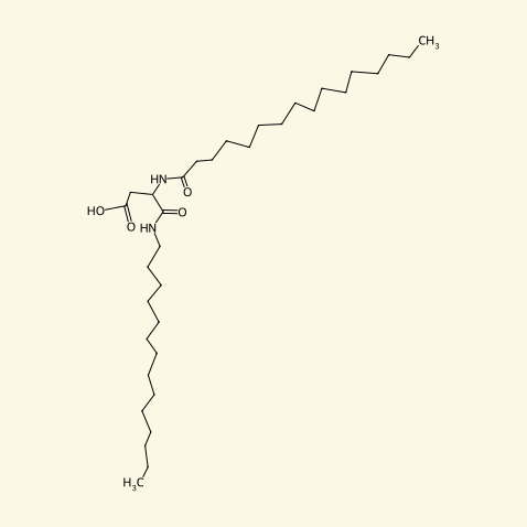 CCCCCCCCCCCCCCCC(=O)NC(CC(=O)O)C(=O)NCCCCCCCCCCCCCC